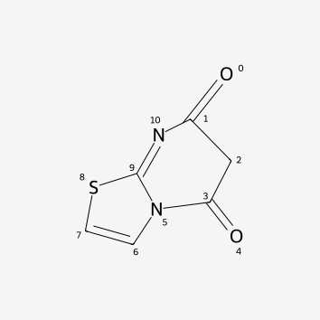 O=C1CC(=O)N2C=CSC2=N1